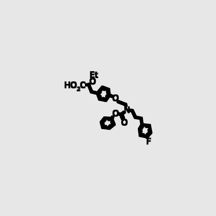 CCOC(Cc1ccc(OCCN(CCCc2ccc(F)cc2)C(=O)Oc2ccccc2)cc1)C(=O)O